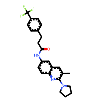 Cc1cc2cc(NC(=O)CCc3ccc(C(F)(F)F)cc3)ccc2nc1N1CCCC1